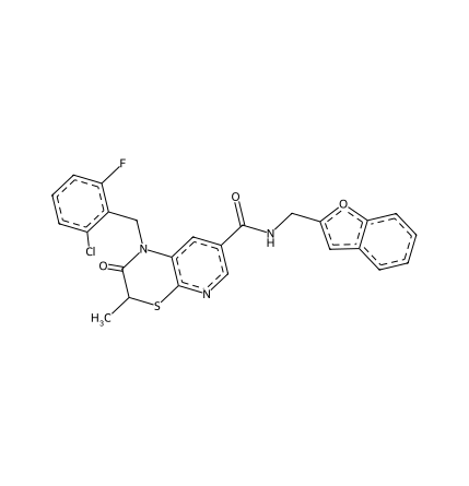 CC1Sc2ncc(C(=O)NCc3cc4ccccc4o3)cc2N(Cc2c(F)cccc2Cl)C1=O